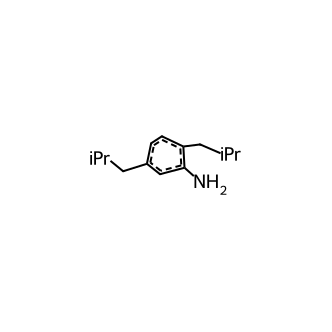 CC(C)Cc1ccc(CC(C)C)c(N)c1